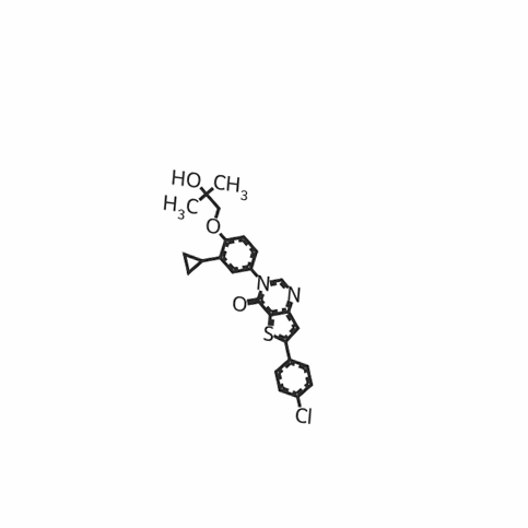 CC(C)(O)COc1ccc(-n2cnc3cc(-c4ccc(Cl)cc4)sc3c2=O)cc1C1CC1